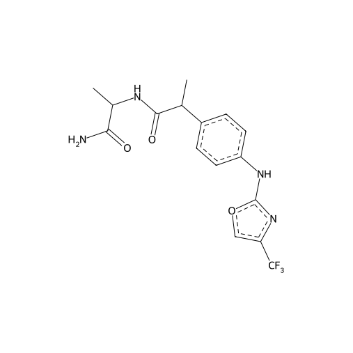 CC(NC(=O)C(C)c1ccc(Nc2nc(C(F)(F)F)co2)cc1)C(N)=O